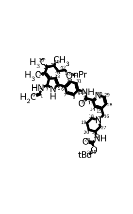 C=CNC1NC(c2ccc(NC(=O)c3cc(CN4CCCC(NC(=O)OC(C)(C)C)C4)ccn3)cc2)=C/C1=C(/C)C(C)C(C)CCOCCC